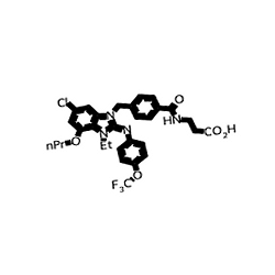 CCCOc1cc(Cl)cc2c1n(CC)c(=Nc1ccc(OC(F)(F)F)cc1)n2Cc1ccc(C(=O)NCCC(=O)O)cc1